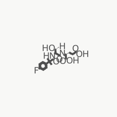 C[C@@H](O)[C@H](NC(=O)C(C)(C)c1ccc(F)cc1)C(=O)N[C@H](CCC(=O)O)C(=O)O